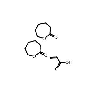 C=CC(=O)O.O=C1CCCCCO1.O=C1CCCCCO1